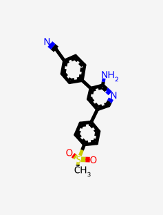 CS(=O)(=O)c1ccc(-c2cnc(N)c(-c3ccc(C#N)cc3)c2)cc1